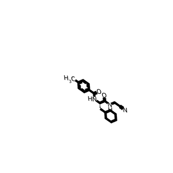 Cc1ccc(C(=O)N[C@@H](CC2CCCCC2)C(=O)NCC#N)cc1